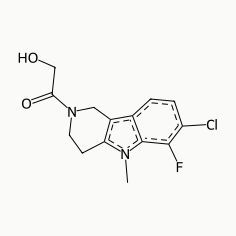 Cn1c2c(c3ccc(Cl)c(F)c31)CN(C(=O)CO)CC2